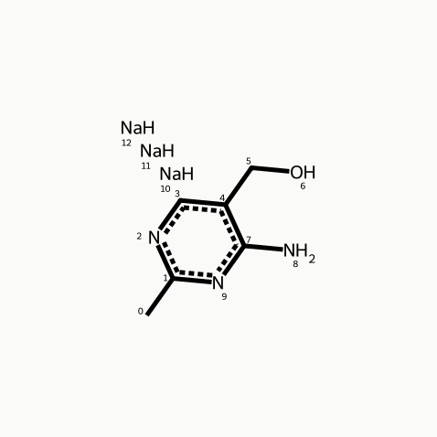 Cc1ncc(CO)c(N)n1.[NaH].[NaH].[NaH]